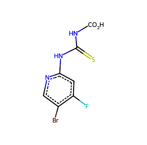 O=C(O)NC(=S)Nc1cc(F)c(Br)cn1